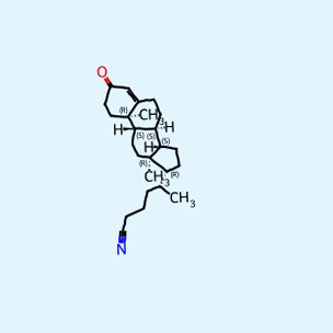 CC(CCCC#N)[C@H]1CC[C@H]2[C@@H]3CCC4=CC(=O)CC[C@]4(C)[C@H]3CC[C@]12C